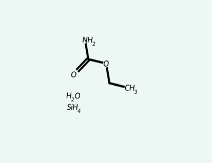 CCOC(N)=O.O.[SiH4]